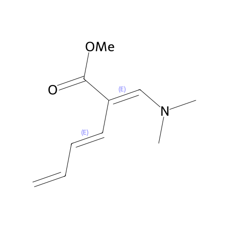 C=C/C=C/C(=C\N(C)C)C(=O)OC